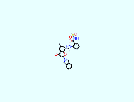 Cc1cc([C@@H](C)Nc2ccccc2C(=O)NS(C)(=O)=O)c2oc(N3Cc4ccccc4C3)cc(=O)c2c1